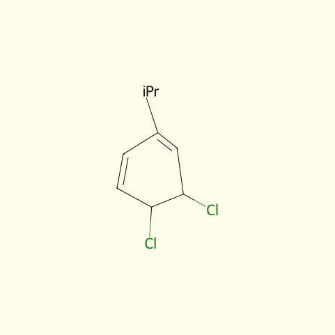 CC(C)C1=CC(Cl)C(Cl)C=C1